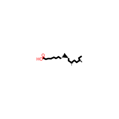 CC[C@@H](C)CC[C@H](C)CC[C@H]1C[C@H]1CCCCCCCC(=O)O